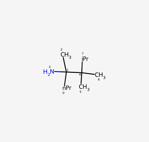 CCCC(C)(N)C(C)(C)C(C)C